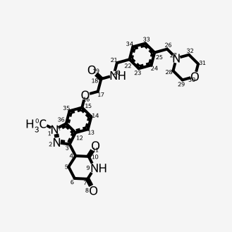 Cn1nc(C2CCC(=O)NC2=O)c2ccc(OCC(=O)NCc3ccc(CN4CCOCC4)cc3)cc21